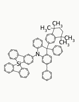 CC1(C)CCC(C)(C)c2cc(C3(c4ccccc4)c4ccccc4N(c4ccc5c(c4)-c4ccccc4[Si]54c5ccccc5-c5ccccc54)c4cc(-c5ccccc5)ccc43)ccc21